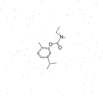 CCN(C)C(=O)Oc1cc(C(C)C)ccc1C